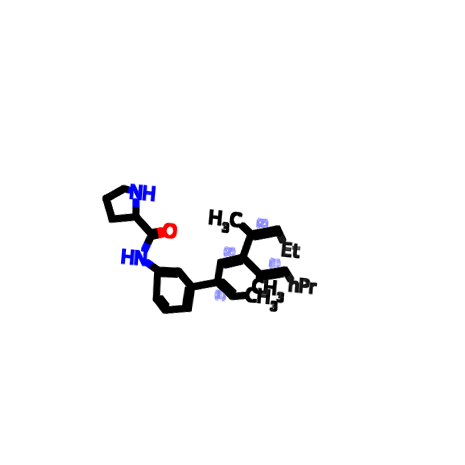 C\C=C(/C=C(C(/C)=C\CC)\C(C)=C\CCC)c1cccc(NC(=O)C2CCCN2)c1